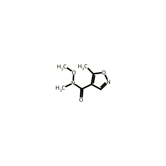 CON(C)C(=O)c1cnoc1C